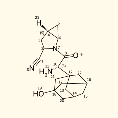 N#CC1C[C@@H]2CC2N1C(=O)[C@@H](N)C12CC3CC(CC(O)(C3)C1)C2